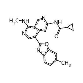 CNc1ncc(-c2nc3ccc(C)cc3o2)c2cc(NC(=O)C3CC3)ncc12